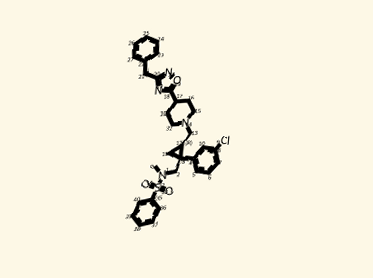 CN(C[C@@]1(c2cccc(Cl)c2)C[C@H]1CN1CCC(c2nc(Cc3ccccc3)no2)CC1)S(=O)(=O)c1ccccc1